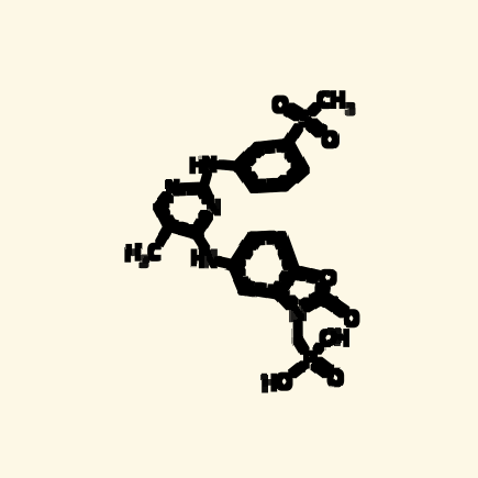 Cc1cnc(Nc2cccc(S(C)(=O)=O)c2)nc1Nc1ccc2oc(=O)n(CP(=O)(O)O)c2c1